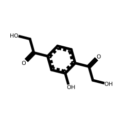 O=C(CO)c1ccc(C(=O)CO)c(O)c1